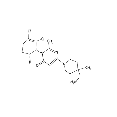 Cc1nc(N2CCC(C)(CN)CC2)cc(=O)n1C1C(Cl)=C(Cl)CC[C@H]1F